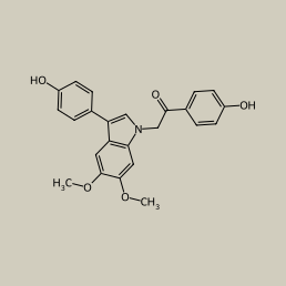 COc1cc2c(-c3ccc(O)cc3)cn(CC(=O)c3ccc(O)cc3)c2cc1OC